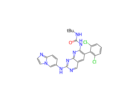 CC(C)(C)NC(=O)Nc1nc2nc(Nc3ccc4nccn4c3)ncc2cc1-c1c(Cl)cccc1Cl